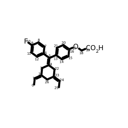 C/C=C1/CC(=C(c2ccc(F)cc2)c2ccc(OCC(=O)O)cc2)C/C(=C/C)C1